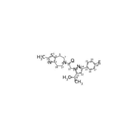 Cc1nc2c(s1)CCN(C(=O)Cn1nc(-c3ccc(F)cc3)cc1C(C)C)CC2